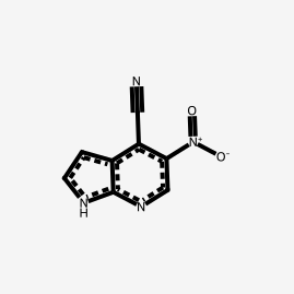 N#Cc1c([N+](=O)[O-])cnc2[nH]ccc12